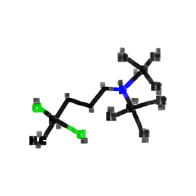 CC[Si](CC)(CC)N(CCC[Si](C)(Cl)Cl)[Si](CC)(CC)CC